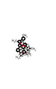 Cc1ccc2c(c1)c1cc(C)ccc1n2-c1ccc(-c2nc(C)nc(C)n2)cc1-c1cccc(-c2cccc(-c3nc(C)nc(C)n3)c2-n2c3ccc(C)cc3c3cc(C)ccc32)c1